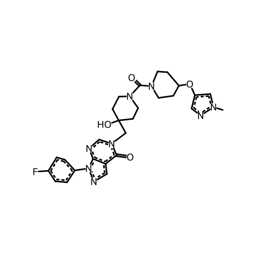 Cn1cc(OC2CCN(C(=O)N3CCC(O)(Cn4cnc5c(cnn5-c5ccc(F)cc5)c4=O)CC3)CC2)cn1